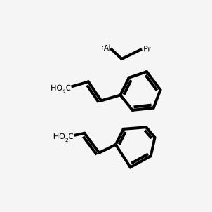 CC(C)[CH2][Al].O=C(O)C=Cc1ccccc1.O=C(O)C=Cc1ccccc1